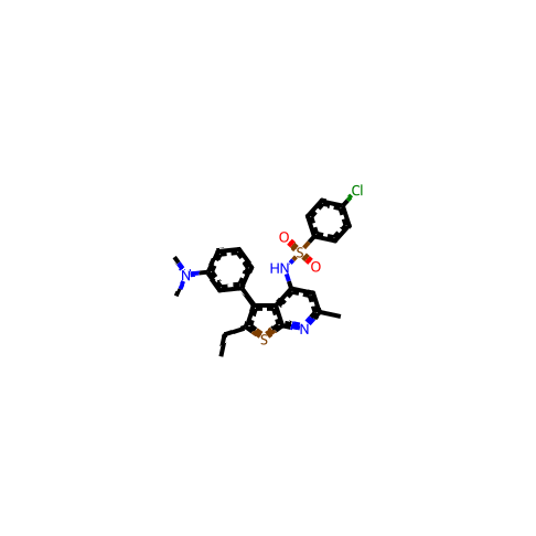 CCc1sc2nc(C)cc(NS(=O)(=O)c3ccc(Cl)cc3)c2c1-c1cccc(N(C)C)c1